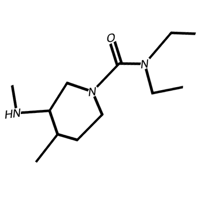 CCN(CC)C(=O)N1CCC(C)C(NC)C1